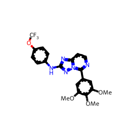 COc1cc(-c2nccc3nc(Nc4ccc(OC(F)(F)F)cc4)nn23)cc(OC)c1OC